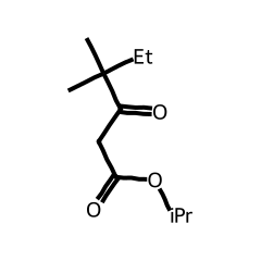 CCC(C)(C)C(=O)CC(=O)OC(C)C